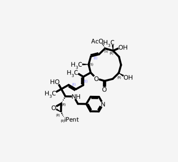 CCC[C@@H](C)[C@H]1O[C@@H]1C(NCc1ccncc1)C(C)(O)/C=C/C=C(\C)C1OC(=O)C[C@H](O)CC[C@@](C)(O)[C@@H](OC(C)=O)/C=C/[C@@H]1C